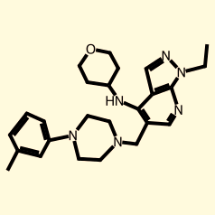 CCn1ncc2c(NC3CCOCC3)c(CN3CCN(c4cccc(C)c4)CC3)cnc21